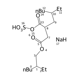 CCCCC(CC)COC(=O)CC(CC(CC)CCCC)C(=O)OS(=O)(=O)O.[NaH]